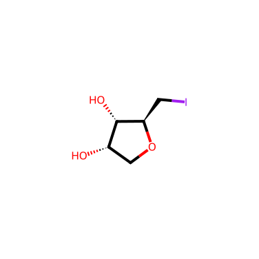 O[C@H]1[C@@H](O)CO[C@@H]1CI